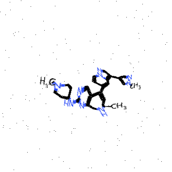 C[C@@H]1C=C(c2ccn3ncc(-c4cnn(C)c4)c3c2)c2cnc(NC3CCN(C)CC3)nc2CN1